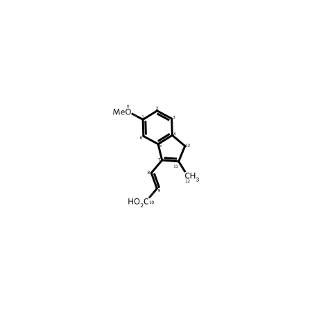 COc1ccc2c(c1)C(C=CC(=O)O)=C(C)C2